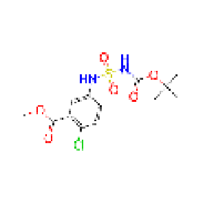 COC(=O)c1cc(NS(=O)(=O)NC(=O)OC(C)(C)C)ccc1Cl